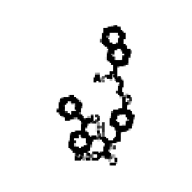 COC(=O)[C@H](Cc1ccc(OCCN(C(C)=O)c2ccc3ccccc3c2)cc1)Nc1ccccc1C(=O)c1ccccc1